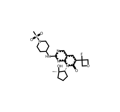 C[C@@]1(O)CCC[C@H]1n1c(=O)c(C2(F)COC2)cc2cnc(NC3CCN(S(C)(=O)=O)CC3)nc21